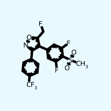 CS(=O)(=O)c1c(F)cc(-c2c(-c3ccc(C(F)(F)F)cc3)noc2CF)cc1F